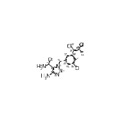 NC(=O)c1c(N)nnn1Cc1cc(Cl)cc(C(Cl)=C(Cl)Cl)c1